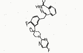 O=c1[nH]nc(Cc2ccc(F)c(P3(=O)CCN(c4ncc(F)cn4)CC3)c2)c2ccccc12